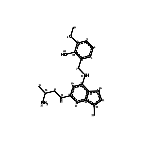 COc1cccc(CNc2nc(NCC(C)N)nc3c2ncn3C)c1O